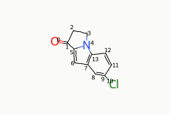 O=C1CCn2c1cc1cc(Cl)ccc12